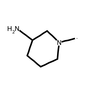 [CH2]N1CCCC(N)C1